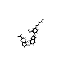 C=C(C)C(=O)OC1CCC(Oc2ccc3cc(-c4ccc(CCCCC)cc4OC)oc3c2)C1(C)C